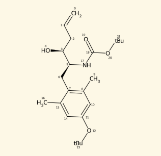 C=CC[C@H](O)[C@H](Cc1c(C)cc(OC(C)(C)C)cc1C)NC(=O)OC(C)(C)C